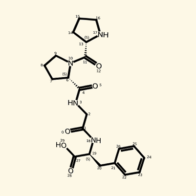 O=C(CNC(=O)[C@@H]1CCCN1C(=O)[C@@H]1CCCN1)N[C@@H](Cc1ccccc1)C(=O)O